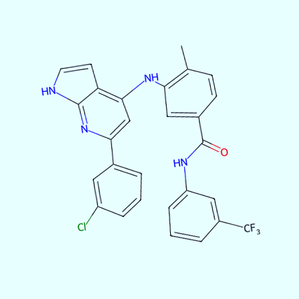 Cc1ccc(C(=O)Nc2cccc(C(F)(F)F)c2)cc1Nc1cc(-c2cccc(Cl)c2)nc2[nH]ccc12